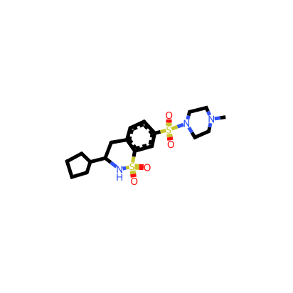 CN1CCN(S(=O)(=O)c2ccc3c(c2)S(=O)(=O)NC(C2CCCC2)C3)CC1